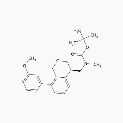 COc1cc(-c2cccc3c2COC[C@H]3CN(C)C(=O)OC(C)(C)C)ccn1